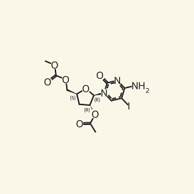 COC(=O)OC[C@@H]1C[C@@H](OC(C)=O)[C@H](n2cc(I)c(N)nc2=O)O1